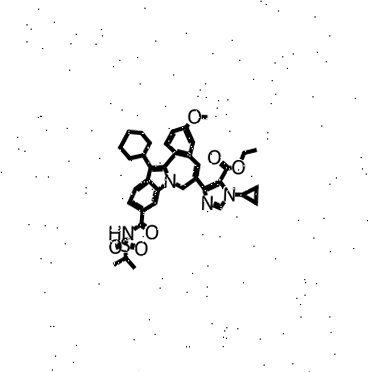 CCOC(=O)c1c(C2=Cc3cc(OC)ccc3-c3c(C4CCCCC4)c4ccc(C(=O)NS(=O)(=O)C(C)C)cc4n3C2)ncn1C1CC1